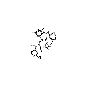 CCC(NC(=O)N1C(=O)[C@H](Cc2ccnc(N)c2)[C@H]1C(=O)N(C)c1cc(C)nc(C)c1)c1cccc(Cl)c1